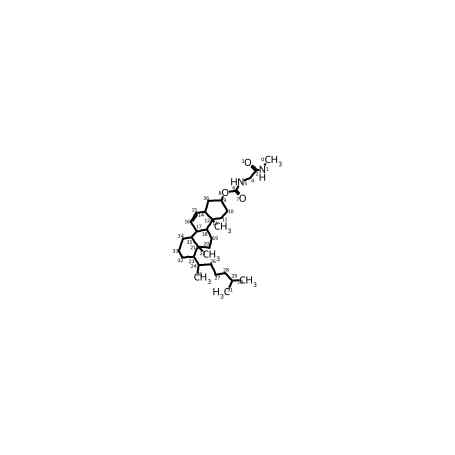 CNC(=O)CNC(=O)OC1CCC2(C)C(C=CC3C2CCC2(C)C(C(C)CCCC(C)C)CCCC32)C1